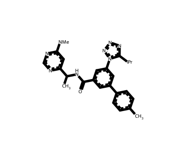 CNc1cc(C(C)NC(=O)c2cc(-c3ccc(C)cc3)cc(-n3nnnc3C(C)C)c2)ncn1